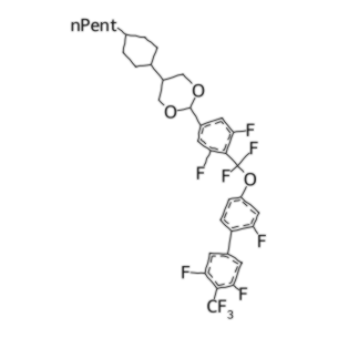 CCCCCC1CCC(C2COC(c3cc(F)c(C(F)(F)Oc4ccc(-c5cc(F)c(C(F)(F)F)c(F)c5)c(F)c4)c(F)c3)OC2)CC1